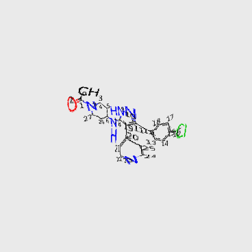 CC(=O)N1CCC(Nc2[nH]nc(-c3ccc(Cl)cc3)c2C2=CC=NCC2)CC1